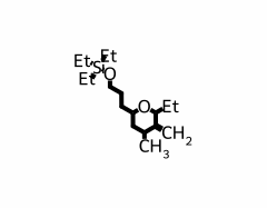 C=C1C(C)CC(CCCO[Si](CC)(CC)CC)OC1CC